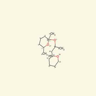 CC1CCC[Si](C)(OC(C)C[SiH]2CCCCO2)O1